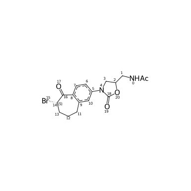 CC(=O)NCC1CN(c2ccc3c(c2)CCC[C@H](Br)C3=O)C(=O)O1